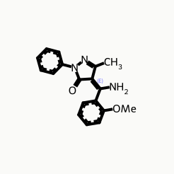 COc1ccccc1/C(N)=C1\C(=O)N(c2ccccc2)N=C1C